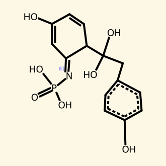 O=P(O)(O)/N=C1\C=C(O)C=CC1C(O)(O)Cc1ccc(O)cc1